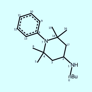 CCCCNC1CC(C)(C)N(c2ccccc2)C(C)(C)C1